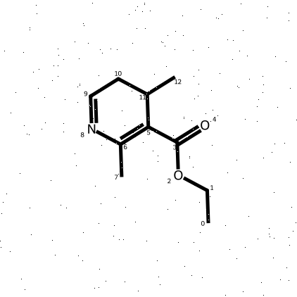 CCOC(=O)C1=C(C)N=CCC1C